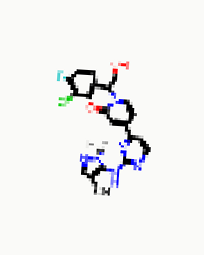 Cn1ncc(C#N)c1Nc1nccc(-c2ccn(C(CO)c3ccc(F)c(Cl)c3)c(=O)c2)n1